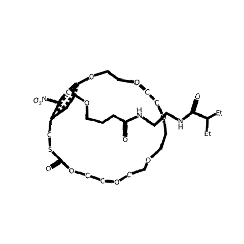 CCC(CC)C(=O)NCCNC(=O)CCCOc1cc2c([N+](=O)[O-])cc1OCCOCCOCCOCCOCCOC(=O)SC2